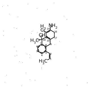 C/C=C\c1cccc2c1CC1=C(C(C)=C(N)CC1)C2(C)C